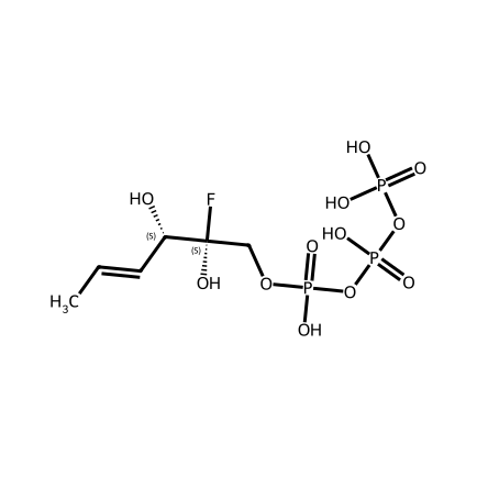 CC=C[C@H](O)[C@@](O)(F)COP(=O)(O)OP(=O)(O)OP(=O)(O)O